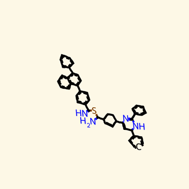 N=C(SC(N)C1C=CC(C2=CC(c3ccccc3)NC(c3ccccc3)=N2)CC1)c1ccc(-c2ccc(-c3ccccc3)c3ccccc23)cc1